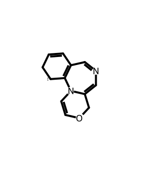 [C]1CC=CC2=C1N1C=COCC1=CN=C2